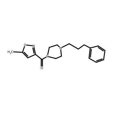 Cc1cc(C(=O)N2CCN(CCCc3ccccc3)CC2)no1